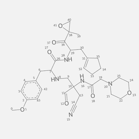 COc1ccc(CC(NCC(C=O)(CC#N)NC(=O)CN2CCOCC2)C(=O)NC(CC2=CCCC2)C(=O)C2(C)CO2)cc1